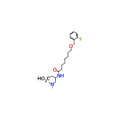 CN(C)CC(CC(=O)O)NC(=O)CCCCCCCOCc1ccccc1F